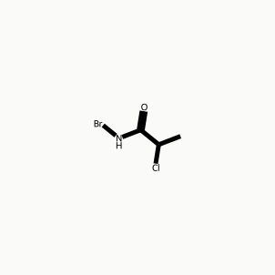 CC(Cl)C(=O)NBr